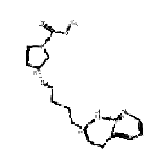 CC(C)(C)OC(=O)N1CC[C@@H](OCCCC[C@@H]2CCc3cccnc3N2)C1